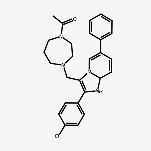 CC(=O)N1CCCN(CC2=C(c3ccc(Cl)cc3)NC3C=CC(c4ccccc4)=CN23)CC1